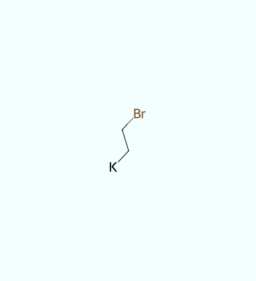 [K][CH2]CBr